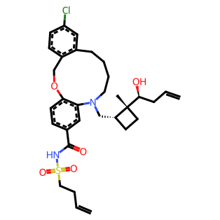 C=CCCS(=O)(=O)NC(=O)c1ccc2c(c1)N(C[C@H]1CC[C@@]1(C)[C@@H](O)CC=C)CCCCc1cc(Cl)ccc1CO2